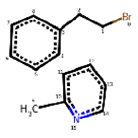 BrCCc1ccccc1.Cc1ccccn1